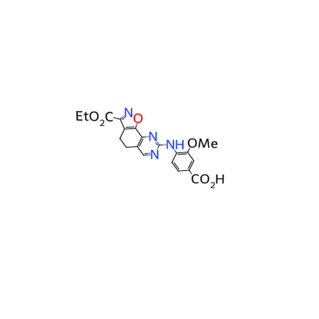 CCOC(=O)c1noc2c1CCc1cnc(Nc3ccc(C(=O)O)cc3OC)nc1-2